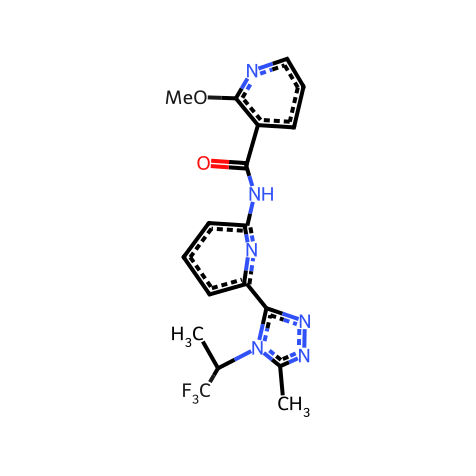 COc1ncccc1C(=O)Nc1cccc(-c2nnc(C)n2C(C)C(F)(F)F)n1